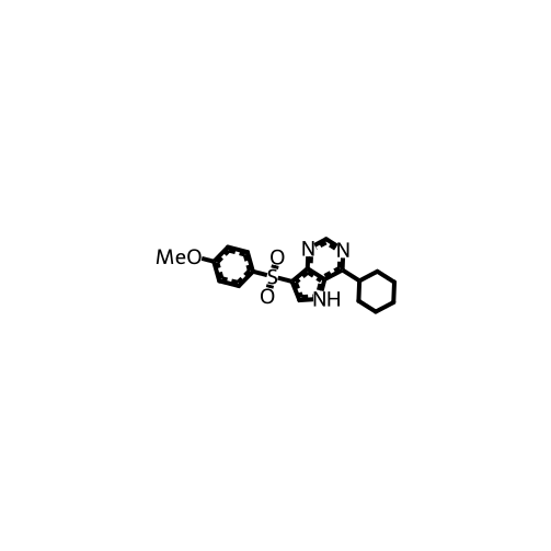 COc1ccc(S(=O)(=O)c2c[nH]c3c(C4CCCCC4)ncnc23)cc1